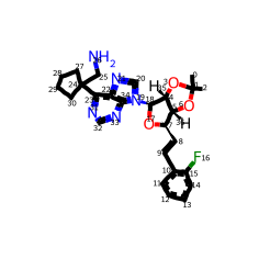 CC1(C)O[C@@H]2[C@H](O1)[C@@H](C=Cc1ccccc1F)O[C@H]2n1cnc2c(C3(CN)CCCC3)ncnc21